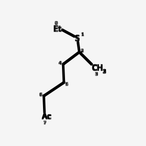 CCSC(C)CCCC(C)=O